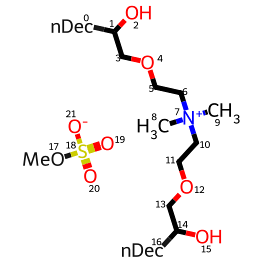 CCCCCCCCCCC(O)COCC[N+](C)(C)CCOCC(O)CCCCCCCCCC.COS(=O)(=O)[O-]